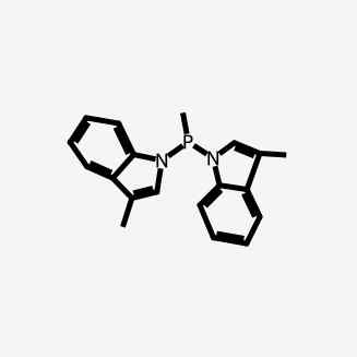 Cc1cn(P(C)n2cc(C)c3ccccc32)c2ccccc12